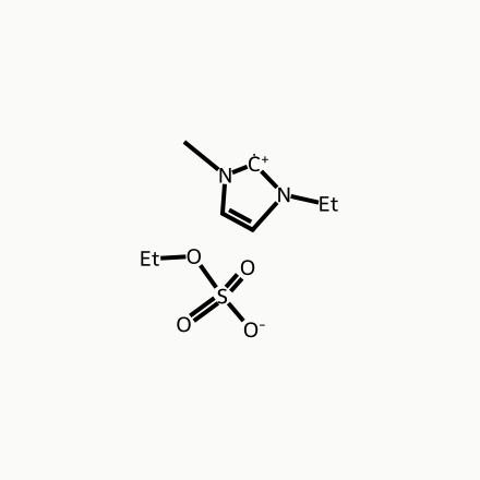 CCN1[C+]N(C)C=C1.CCOS(=O)(=O)[O-]